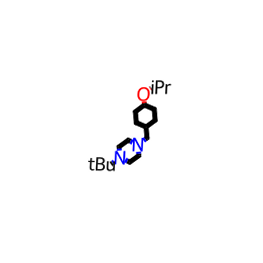 CC(C)OC1CCC(CN2CCN(C(C)(C)C)CC2)CC1